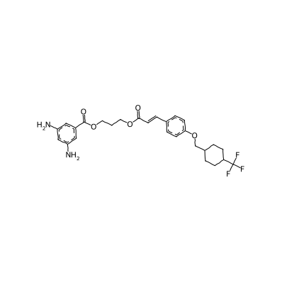 Nc1cc(N)cc(C(=O)OCCCOC(=O)C=Cc2ccc(OCC3CCC(C(F)(F)F)CC3)cc2)c1